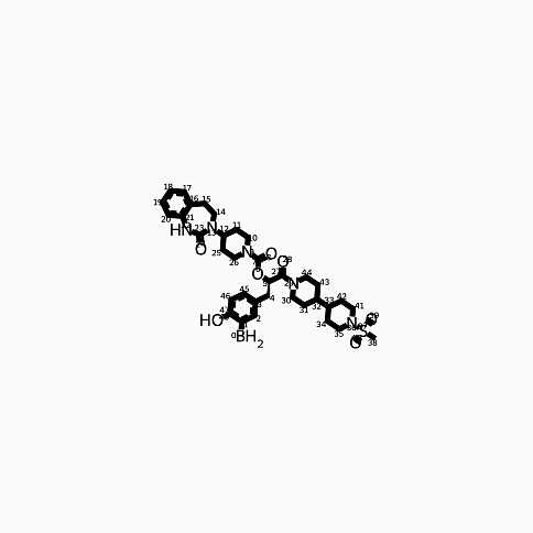 Bc1cc(C[C@@H](OC(=O)N2CCC(N3CCc4ccccc4NC3=O)CC2)C(=O)N2CCC(C3CCN(S(C)(=O)=O)CC3)CC2)ccc1O